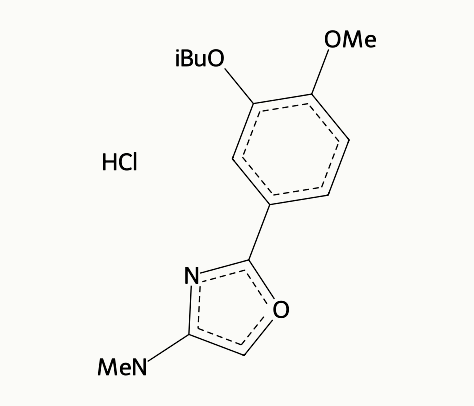 CNc1coc(-c2ccc(OC)c(OCC(C)C)c2)n1.Cl